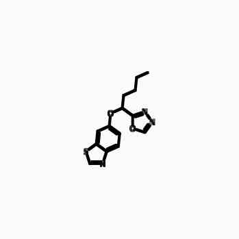 CCCCC(Oc1ccc2ncsc2c1)c1nnco1